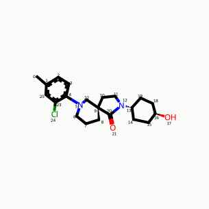 Cc1ccc(N2CCC[C@]3(CCN([C@H]4CC[C@H](O)CC4)C3=O)C2)c(Cl)c1